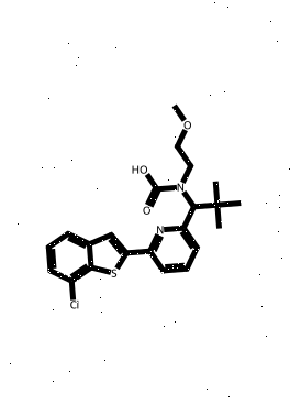 COCCN(C(=O)O)C(c1cccc(-c2cc3cccc(Cl)c3s2)n1)C(C)(C)C